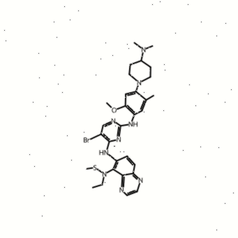 CCN(SC)c1c(Nc2nc(Nc3cc(C)c(N4CCC(N(C)C)CC4)cc3OC)ncc2Br)ccc2nccnc12